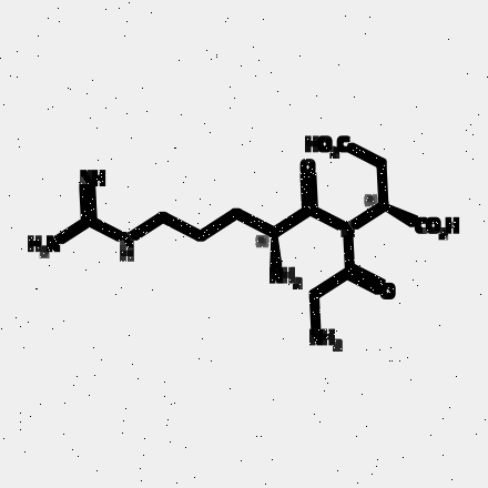 N=C(N)NCCC[C@H](N)C(=O)N(C(=O)CN)[C@@H](CC(=O)O)C(=O)O